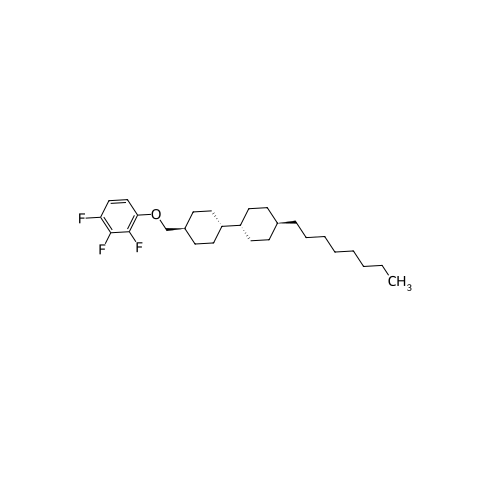 CCCCCCCC[C@H]1CC[C@H]([C@H]2CC[C@H](COc3ccc(F)c(F)c3F)CC2)CC1